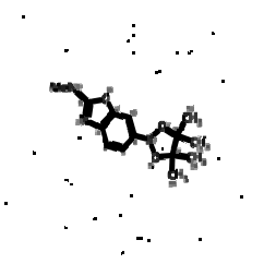 CNc1nc2ccc(B3OC(C)(C)C(C)(C)O3)cc2o1